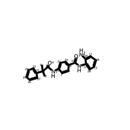 CC(C)(C(=O)Nc1ccc(C(=O)Nc2ccccc2N)cc1)c1ccccc1